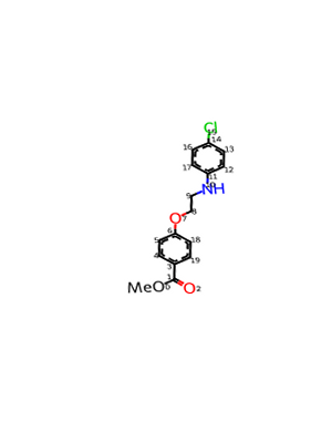 COC(=O)c1ccc(OCCNc2ccc(Cl)cc2)cc1